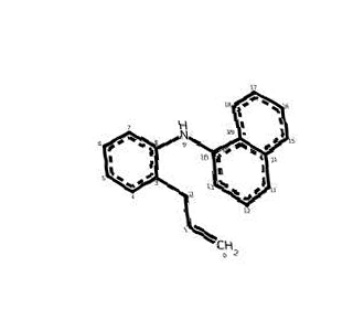 C=CCc1ccccc1Nc1cccc2ccccc12